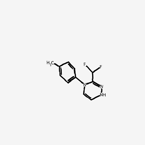 Cc1ccc(N2C=CNN=C2C(F)F)cc1